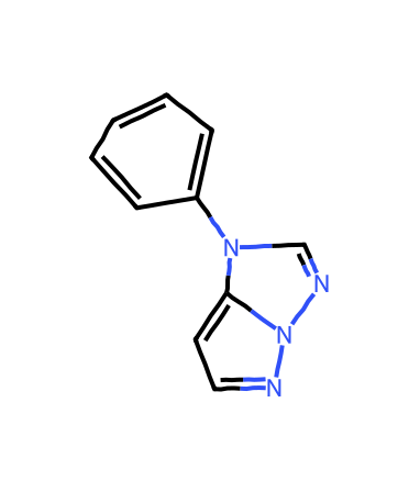 c1ccc(-n2cnn3nccc23)cc1